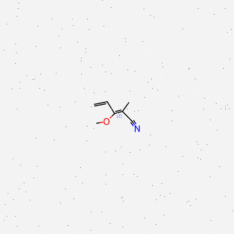 C=C/C(OC)=C(\C)C#N